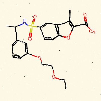 CCOCCOc1cccc(C(C)NS(=O)(=O)c2ccc3oc(C(=O)O)c(C)c3c2)c1